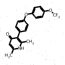 Cc1cc(=O)c(-c2ccc(Oc3ccc(OC(F)(F)F)cc3)cc2)c(C)[nH]1